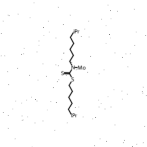 CC(C)CCCCCSC(=S)[N]([Mo])CCCCCC(C)C